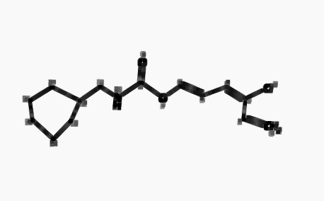 C=C/C(Cl)=C\C=C\OC(=O)NCC1CCCCC1